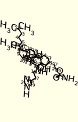 CC(C)CCC[C@@H](C)[C@H]1CC[C@H]2[C@@H]3C[C@@H](NCCc4c[nH]cn4)[C@@]4(O)C[C@@H](CCOC(N)=O)CC[C@]4(C)[C@H]3CC[C@]12C